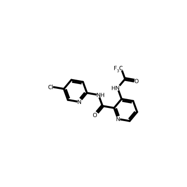 O=C(Nc1ccc(Cl)cn1)c1ncccc1NC(=O)C(F)(F)F